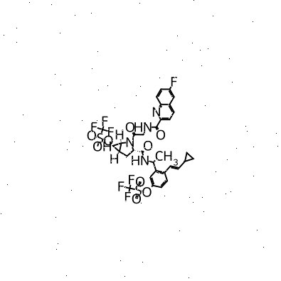 C[C@H](NC(=O)[C@@H]1C[C@H]2C[C@H]2N1C(=O)CNC(=O)c1ccc2cc(F)ccc2n1)c1cc(OS(=O)(=O)C(F)(F)F)ccc1/C=C/C1CC1.O=S(=O)(O)C(F)(F)F